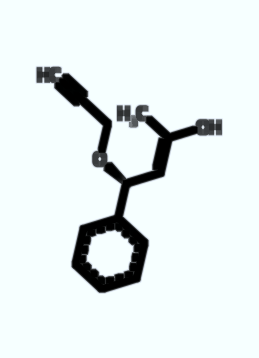 C#CCO[C@@H](/C=C(\C)O)c1ccccc1